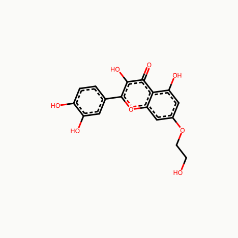 O=c1c(O)c(-c2ccc(O)c(O)c2)oc2cc(OCCO)cc(O)c12